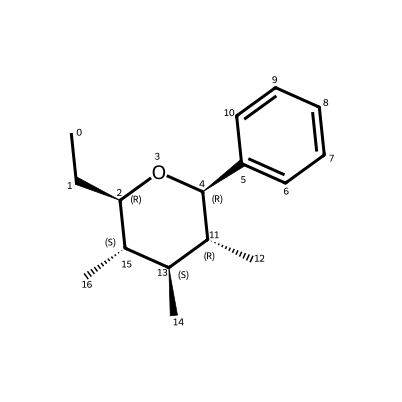 CC[C@H]1O[C@@H](c2ccccc2)[C@H](C)[C@@H](C)[C@@H]1C